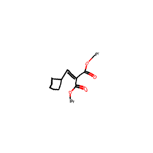 CC(C)OC(=O)C(=CC1CCC1)C(=O)OC(C)C